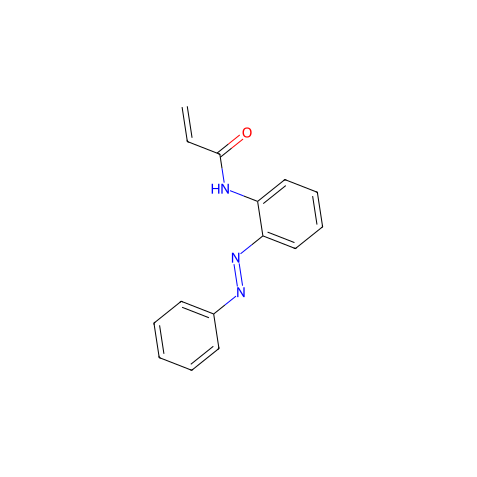 C=CC(=O)Nc1ccccc1N=Nc1ccccc1